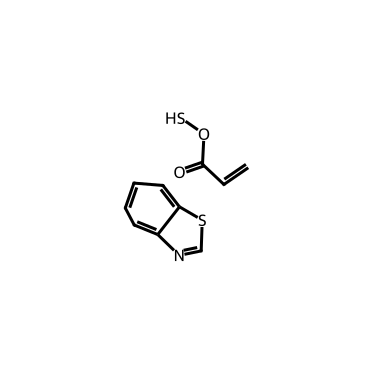 C=CC(=O)OS.c1ccc2scnc2c1